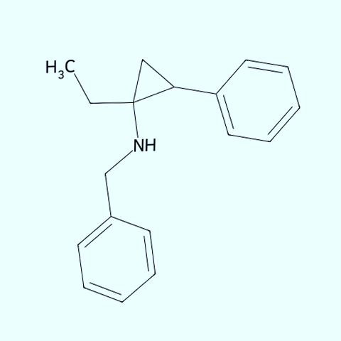 CCC1(NCc2ccccc2)CC1c1ccccc1